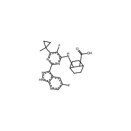 CC1(c2nc(-c3n[nH]c4ncc(F)cc34)nc(NC3C4CCC(CC4)C3C(=O)O)c2F)CC1